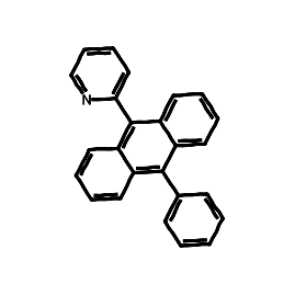 c1ccc(-c2c3ccccc3c(-c3ccccn3)c3ccccc23)cc1